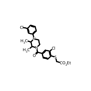 CCOC(=O)CSc1ccc(C(=O)N2CCN(c3cccc(Cl)c3)C(C)C2C)cc1Cl